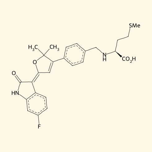 CSCC[C@H](NCc1ccc(C2=CC(=C3C(=O)Nc4cc(F)ccc43)OC2(C)C)cc1)C(=O)O